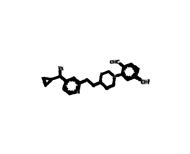 CCC(c1ccnc(CCC2CCN(c3cc(O)ccc3C=O)CC2)c1)C1CC1